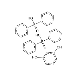 O=P(O)(c1ccccc1)c1ccccc1.O=P(O)(c1ccccc1)c1ccccc1.Oc1cccc(O)c1